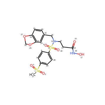 CS(=O)(=O)c1ccc(S(=O)(=O)N(CCC(=O)NO)Cc2ccc3c(c2)OCO3)cc1